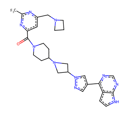 O=C(c1cc(CN2CCC2)nc(C(F)(F)F)n1)N1CCC(N2CC(n3cc(-c4ncnc5[nH]ccc45)cn3)C2)CC1